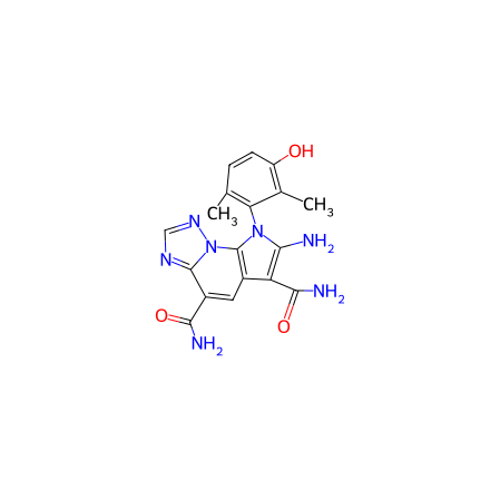 Cc1ccc(O)c(C)c1-n1c(N)c(C(N)=O)c2cc(C(N)=O)c3ncnn3c21